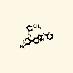 CN1CC[C@@H](COc2cnc(C#N)cc2-c2ccn3nc(Nc4ccccn4)cc3c2)C1